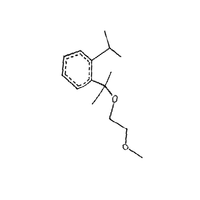 COCCOC(C)(C)c1ccccc1C(C)C